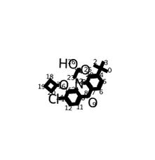 CC(C)(C)c1ccc2c(=O)c3ccc(Cl)c(OC4CCC4)c3n(CC(=O)O)c2c1